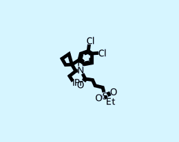 CCS(=O)(=O)CCCC(=O)NC(CC(C)C)C1(c2ccc(Cl)c(Cl)c2)CCC1